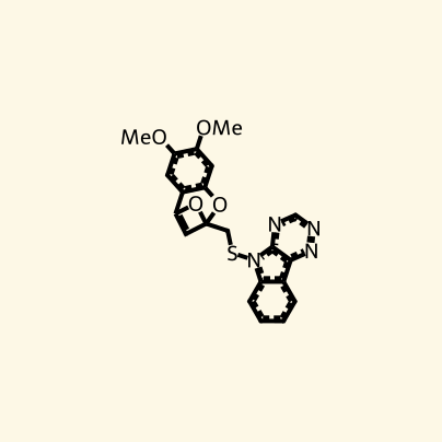 COc1cc2c(cc1OC)C1=CC(CSn3c4ccccc4c4nncnc43)(O1)O2